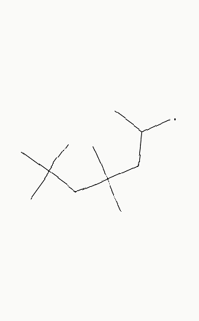 [CH2]C(C)CC(C)(C)CC(C)(C)C